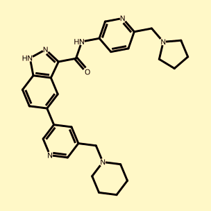 O=C(Nc1ccc(CN2CCCC2)nc1)c1n[nH]c2ccc(-c3cncc(CN4CCCCC4)c3)cc12